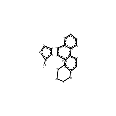 Cc1ccco1.c1ccc2c(c1)ccc1c3c(ccc12)CCCC3